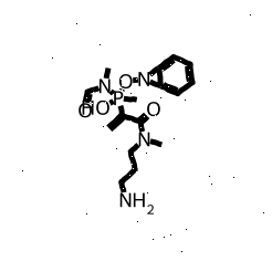 C=C(C(=O)N(C)CCCN)P(C)(O)(ON1c2ccccc21)N(C)C=O